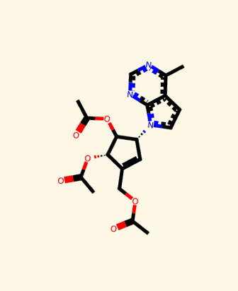 CC(=O)OCC1=C[C@@H](n2ccc3c(C)ncnc32)C(OC(C)=O)[C@H]1OC(C)=O